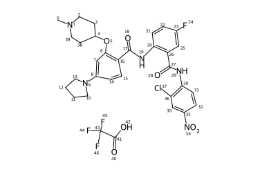 CN1CCC(Oc2cc(N3CCCC3)ccc2C(=O)Nc2ccc(F)cc2C(=O)Nc2ccc([N+](=O)[O-])cc2Cl)CC1.O=C(O)C(F)(F)F